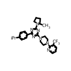 CC(C)c1ccc(-c2nc(N3CCN(c4ncccc4C(F)(F)F)CC3)nc(N3CCCC3C)n2)cc1